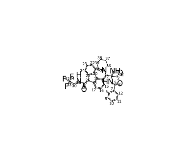 NC(C=O)(NC(=O)c1ccccc1)C(c1cccc2c1-c1ccccc1C2C(=O)NCC(F)(F)F)N1CCCCC1